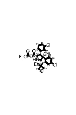 CCC1(C[C@@H]2N[C@@H](C(=O)OC(=O)C(F)(F)F)[C@H](c3cccc(Cl)c3F)[C@@]2(C#N)c2ccc(Cl)cc2F)COC1